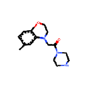 Cc1ccc2c(c1)N(CC(=O)N1CCNCC1)CCO2